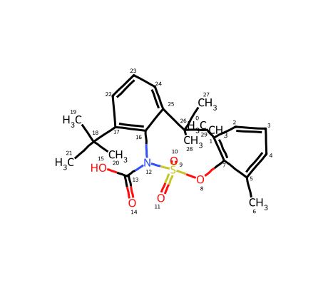 Cc1cccc(C)c1OS(=O)(=O)N(C(=O)O)c1c(C(C)(C)C)cccc1C(C)(C)C